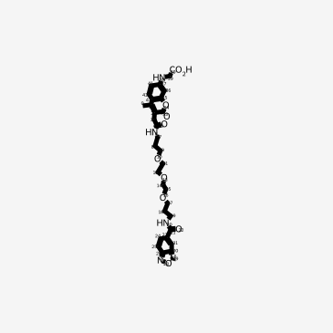 Cc1c(CC(=O)NCCCOCCOCCOCCCNC(=O)c2ccc3nonc3c2)c(=O)oc2cc(NCC(=O)O)ccc12